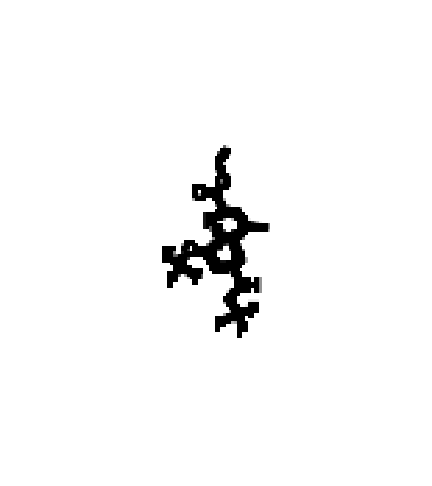 CCOC(=O)c1cc(C)c2cc(NCC(F)(F)F)cc(OC(F)(F)F)c2n1